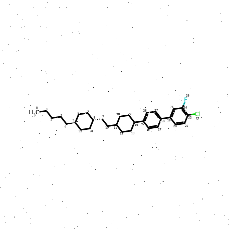 CCCCC[C@H]1CC[C@H](CCC2CCC(c3ccc(-c4ccc(Cl)c(F)c4)cc3)CC2)CC1